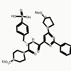 CCOC(=O)N1CCN(C(=O)[C@H](Cc2ccc(P(=O)(O)O)cc2)NC(=O)c2cc(N3CC[C@H](OC)C3)nc(-c3ccccc3)n2)CC1